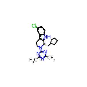 FC(F)(F)c1nc(N2CCc3c([nH]c4ccc(Cl)cc34)[C@@H]2CC2CCCC2)nc(C(F)(F)F)n1